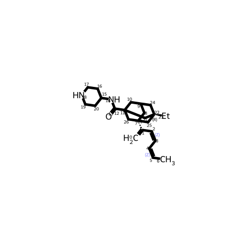 C=C(/C=C\C=C/C)[C@]12CC3CC(C(=O)NC4CCNCC4)(C[C@](CC)(C3)C1)C2